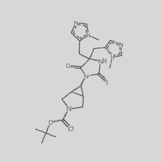 Cn1cncc1CC1(Cc2cncn2C)NC(=S)N(C2C3CN(C(=O)OC(C)(C)C)CC32)C1=O